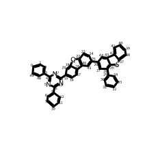 c1ccc(-c2nc(-c3ccccc3)nc(-c3ccc4c(c3)oc3ccc(-c5cc(-c6ccccc6)c6sc7ccccc7c6c5)cc34)n2)cc1